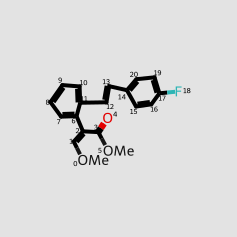 COC=C(C(=O)OC)c1ccccc1C=Cc1ccc(F)cc1